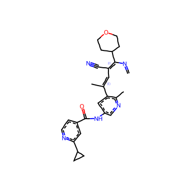 C=N/C(=C(C#N)\C=C(/C)c1cc(NC(=O)c2ccnc(C3CC3)c2)cnc1C)C1CCOCC1